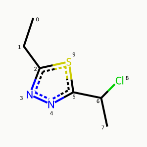 CCc1nnc(C(C)Cl)s1